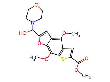 COC(=O)c1cc2c(OC)c3cc(C(O)N4CCOCC4)oc3c(OC)c2s1